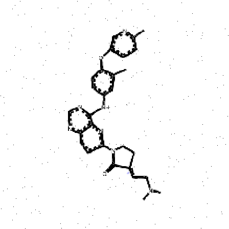 Cc1ccc(Oc2ccc(Nc3ncnc4ccc(N5CC/C(=C\CN(C)C)C5=O)nc34)cc2C)cn1